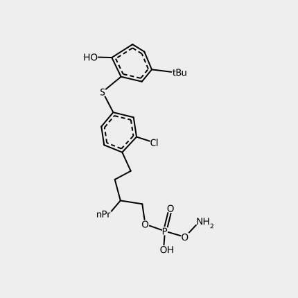 CCCC(CCc1ccc(Sc2cc(C(C)(C)C)ccc2O)cc1Cl)COP(=O)(O)ON